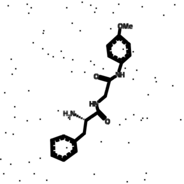 COc1ccc(NC(=O)CNC(=O)[C@@H](N)Cc2ccccc2)cc1